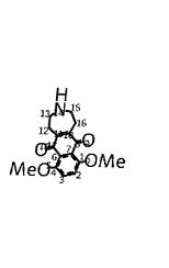 COc1ccc(OC)c2c1C(=O)C1=C(CCNCC1)C2=O